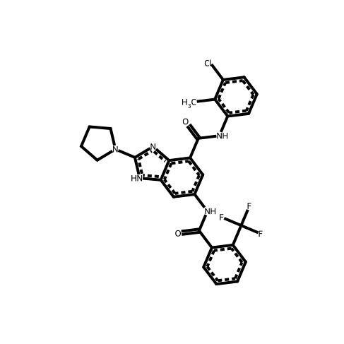 Cc1c(Cl)cccc1NC(=O)c1cc(NC(=O)c2ccccc2C(F)(F)F)cc2[nH]c(N3CCCC3)nc12